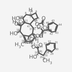 CC(=O)O[C@@]12CC[C@@H]1C[C@H](O)[C@@]1(C)C(=O)[C@H](O)C3=C(C)[C@@H](OC(=O)[C@H](O)[C@@H](C)c4ccccc4)C[C@@](O)([C@@H](OC(=O)c4ccccc4)C12)C3(C)C